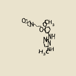 CNc1ccnc(Nc2ccc(OC)c(OCCCN3CCC4(COC4)C3)c2)n1